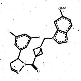 COc1ccc2ncn(CC34CC(C(=O)N5N=CCC5c5cc(F)cc(F)c5)(C3)C4)c2c1